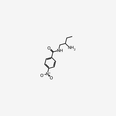 CCC(N)CNC(=O)c1ccc([N+](=O)[O-])cc1